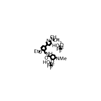 CCOc1ccc(-c2ccc(N(C)C)nc2)cc1CNC(=O)C1CCC(NC)CC1.O=C(O)C(F)(F)F.O=C(O)C(F)(F)F